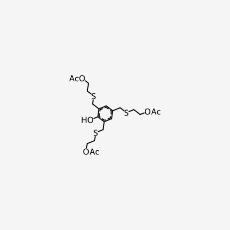 CC(=O)OCCSCc1cc(CSCCOC(C)=O)c(O)c(CSCCOC(C)=O)c1